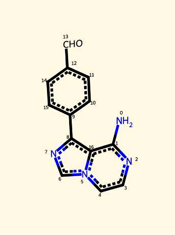 Nc1nccn2cnc(-c3ccc(C=O)cc3)c12